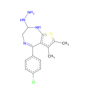 Cc1sc2c(c1C)C(c1ccc(Cl)cc1)=NCC(NN)N2